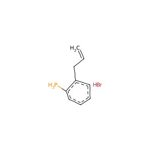 Br.C=CCc1ccccc1P